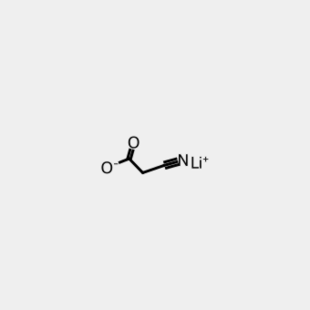 N#CCC(=O)[O-].[Li+]